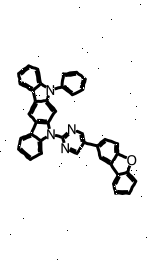 c1ccc(-n2c3ccccc3c3cc4c5ccccc5n(-c5ncc(-c6ccc7oc8ccccc8c7c6)cn5)c4cc32)cc1